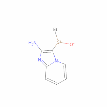 CC[S+]([O-])c1c(N)nc2ccccn12